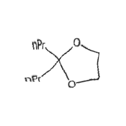 CCCC1(CCC)OCCO1